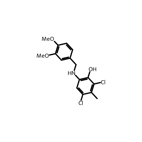 COc1ccc(CNc2cc(Cl)c(C)c(Cl)c2O)cc1OC